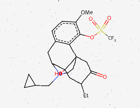 CCC1CC2(O)C3Cc4ccc(OC)c(OS(=O)(=O)C(F)(F)F)c4C2(CCN3CC2CC2)CC1=O